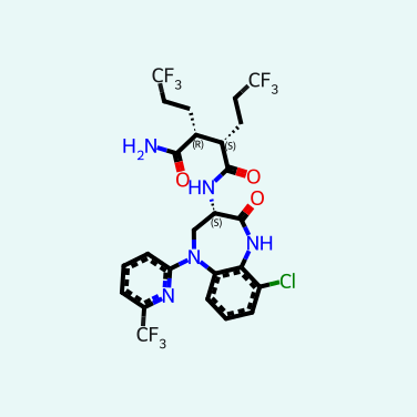 NC(=O)[C@H](CCC(F)(F)F)[C@H](CCC(F)(F)F)C(=O)N[C@H]1CN(c2cccc(C(F)(F)F)n2)c2cccc(Cl)c2NC1=O